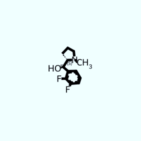 CN1CCC[C@H]1[C@H](O)c1cccc(F)c1F